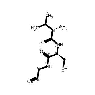 CC(C)[C@H](N)C(=O)N[C@@H](CO)C(=O)NC[C]=O